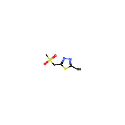 CC(C)(C)c1nnc(CS(C)(=O)=O)s1